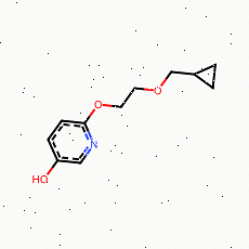 Oc1ccc(OCCOCC2CC2)nc1